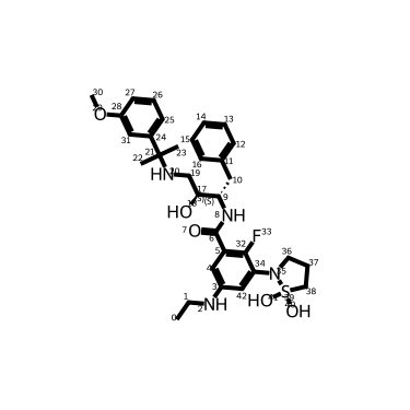 CCNc1cc(C(=O)N[C@@H](Cc2ccccc2)[C@@H](O)CNC(C)(C)c2cccc(OC)c2)c(F)c(N2CCCS2(O)O)c1